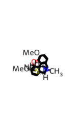 COc1ccc2c3c1O[C@H]1[C@]4(OC)C=C[C@@]5(S[C@H]4C#N)[C@@H](C2)N(C)CC[C@]315